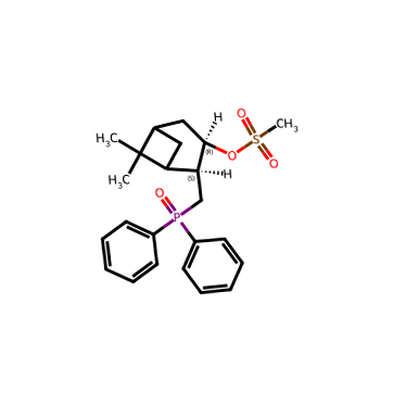 CC1(C)C2CC1[C@H](CP(=O)(c1ccccc1)c1ccccc1)[C@H](OS(C)(=O)=O)C2